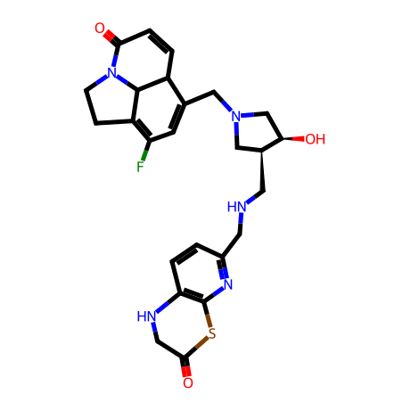 O=C1CNc2ccc(CNC[C@H]3CN(CC4=CC(F)=C5CCN6C(=O)C=CC4C56)C[C@H]3O)nc2S1